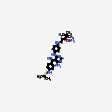 CC(C)SNc1ccc(C(=N)c2c(N)ncnc2Nc2ccc(NC/C=C(\ON)C(C)(C)C)cc2)cc1